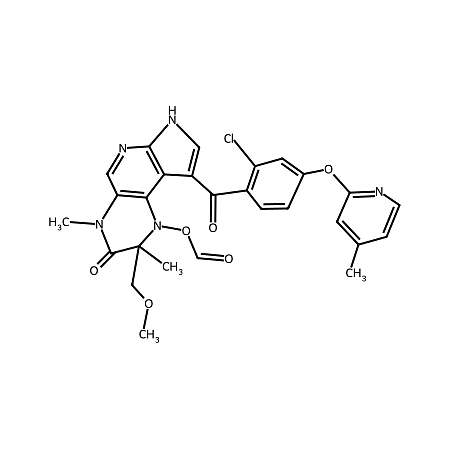 COCC1(C)C(=O)N(C)c2cnc3[nH]cc(C(=O)c4ccc(Oc5cc(C)ccn5)cc4Cl)c3c2N1OC=O